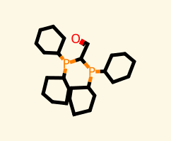 O=CC(P(C1CCCCC1)C1CCCCC1)P(C1CCCCC1)C1CCCCC1